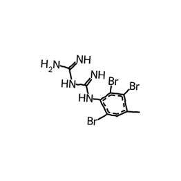 Cc1cc(Br)c(NC(=N)NC(=N)N)c(Br)c1Br